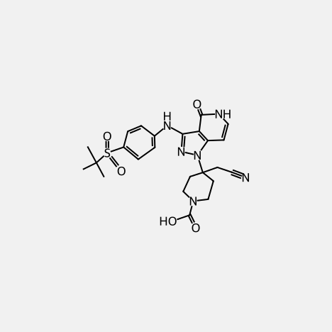 CC(C)(C)S(=O)(=O)c1ccc(Nc2nn(C3(CC#N)CCN(C(=O)O)CC3)c3cc[nH]c(=O)c23)cc1